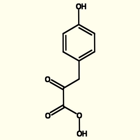 O=C(Cc1ccc(O)cc1)C(=O)OO